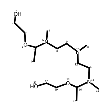 CC(OCCO)N(C)CCN(C)CCN(C)C(C)OCCO